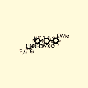 COc1ccc(OC)c(C2CCN(c3cnnc(NNC(=O)CC(F)(F)F)c3Cl)CC2)c1